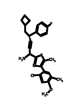 COc1cc(Cl)c(-c2nc(C(N)C#C[C@@H](CC3CCC3)c3ccc(F)cc3)sc2C)cc1C